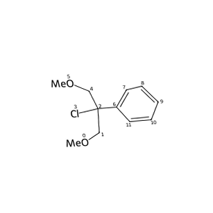 COCC(Cl)(COC)c1ccccc1